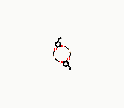 C=Cc1ccc2c(c1)OCCSCCOc1cc(C=C)ccc1OCCSCCO2